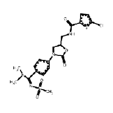 CN(C)/C(=N/S(C)(=O)=O)c1ccc(N2CC(CNC(=O)c3ccc(Cl)s3)OC2=O)cc1